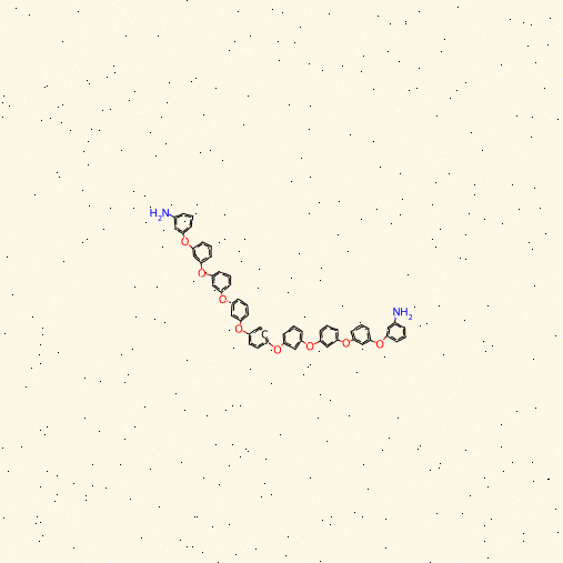 Nc1cccc(Oc2cccc(Oc3cccc(Oc4cccc(Oc5ccc(Oc6cccc(Oc7cccc(Oc8cccc(Oc9cccc(N)c9)c8)c7)c6)cc5)c4)c3)c2)c1